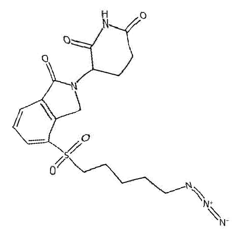 [N-]=[N+]=NCCCCCS(=O)(=O)c1cccc2c1CN(C1CCC(=O)NC1=O)C2=O